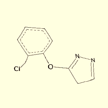 Clc1ccccc1OC1=NN=CC1